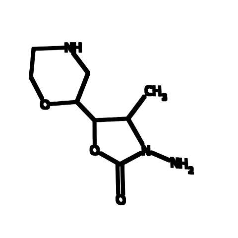 CC1C(C2CNCCO2)OC(=O)N1N